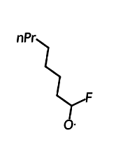 CCCCCCCC([O])F